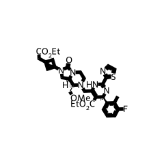 CCOC(=O)CC12CC(N3C[C@@H]4[C@@H](COC)N(CC5=C(C(=O)OCC)[C@H](c6cccc(F)c6C)N=C(c6nccs6)N5)CCN4C3=O)(C1)C2